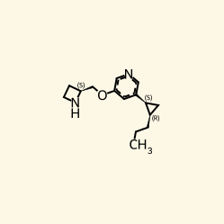 CCC[C@@H]1C[C@@H]1c1cncc(OC[C@@H]2CCN2)c1